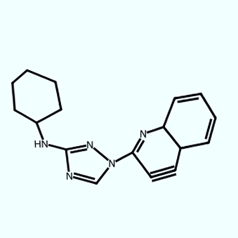 C1#CC2C=CC=CC2N=C1n1cnc(NC2CCCCC2)n1